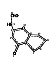 O=[C]Nc1cc(=O)c2ccccc2o1